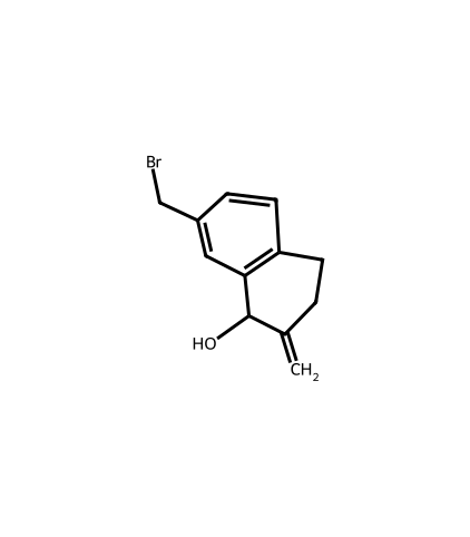 C=C1CCc2ccc(CBr)cc2C1O